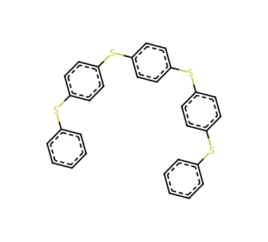 c1ccc(Sc2ccc(Sc3ccc(Sc4ccc(Sc5ccccc5)cc4)cc3)cc2)cc1